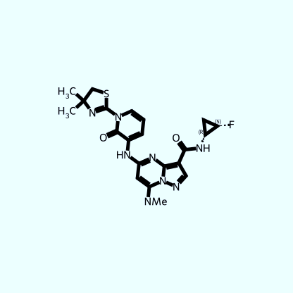 CNc1cc(Nc2cccn(C3=NC(C)(C)CS3)c2=O)nc2c(C(=O)N[C@@H]3C[C@@H]3F)cnn12